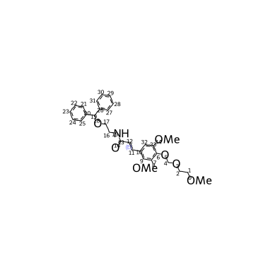 COCCOCOc1c(OC)cc(/C=C/C(=O)NCCOC(c2ccccc2)c2ccccc2)cc1OC